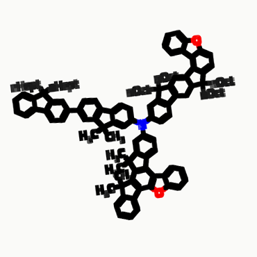 CCCCCCCCC1(CCCCCCCC)C2=C(CC3C(=C2)c2c(ccc4oc5ccccc5c24)C3(CCCCCCCC)CCCCCCCC)c2ccc(N(c3ccc4c(c3)C(C)(C)c3cc(-c5ccc6c(c5)C(CCCCCCC)(CCCCCCC)c5ccccc5-6)ccc3-4)c3ccc4c(c3)C(C)(C)c3c5c(c6oc7ccccc7c6c3-4)-c3ccccc3C5(C)C)cc21